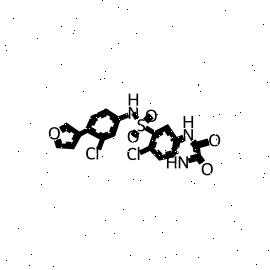 O=c1[nH]c2cc(Cl)c(S(=O)(=O)Nc3ccc(-c4ccoc4)c(Cl)c3)cc2[nH]c1=O